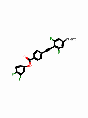 CCCCCc1cc(F)c(C#Cc2ccc(C(=O)Oc3ccc(F)c(F)c3)cc2)c(F)c1